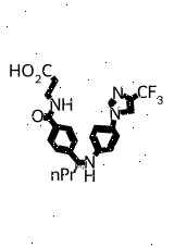 CCC[C@@H](Nc1ccc(-n2cnc(C(F)(F)F)c2)cc1)c1ccc(C(=O)NCCC(=O)O)cc1